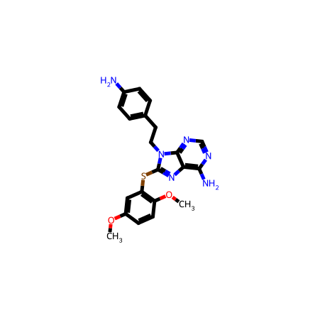 COc1ccc(OC)c(Sc2nc3c(N)ncnc3n2CCc2ccc(N)cc2)c1